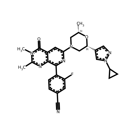 Cc1nc2c(-c3ccc(C#N)cc3F)nc(N3C[C@@H](c4cnn(C5CC5)c4)O[C@@H](C)C3)cc2c(=O)n1C